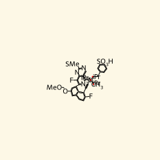 COCOc1cc(-c2nc(N(C)CCc3cccc(S(=O)(=O)O)c3)c3cnc(SC)nc3c2F)c2c(C#C[Si](C(C)C)(C(C)C)C(C)C)c(F)ccc2c1